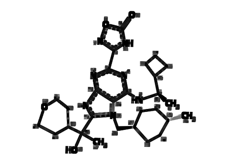 C[C@@H](Nc1nc(-c2noc(=O)[nH]2)nc2nc(C(C)(O)C3CCOCC3)n(C[C@H]3CC[C@H](C)CC3)c12)C1CCC1